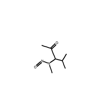 CC(=O)C(C(C)C)N(C)N=O